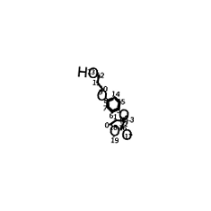 CC[C@@](C)(Oc1ccc(OCCCO)cc1)C(=O)OC